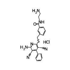 Cl.N#Cc1c(N)nc(SCc2cccc(C(=O)NCCN)c2)c(C#N)c1-c1ccccc1